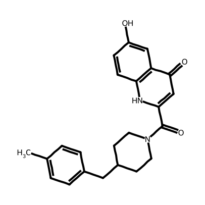 Cc1ccc(CC2CCN(C(=O)c3cc(=O)c4cc(O)ccc4[nH]3)CC2)cc1